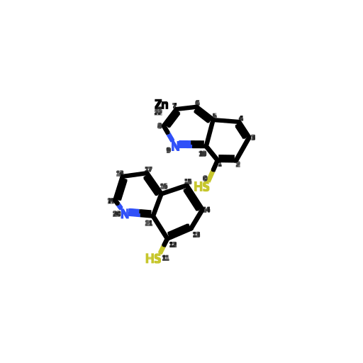 Sc1cccc2cccnc12.Sc1cccc2cccnc12.[Zn]